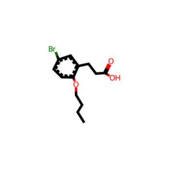 CCCCOc1ccc(Br)cc1CCC(=O)O